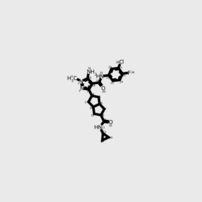 Cn1nc(C2CC3CC(C(=O)NC4CC4)CC3C2)c(C(=O)Nc2ccc(F)c(Cl)c2)c1N